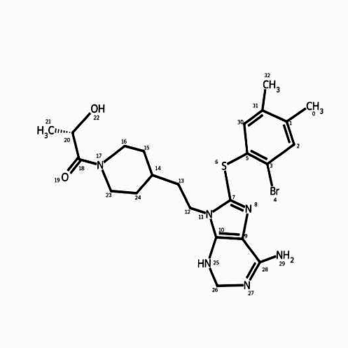 Cc1cc(Br)c(Sc2nc3c(n2CCC2CCN(C(=O)[C@H](C)O)CC2)NCN=C3N)cc1C